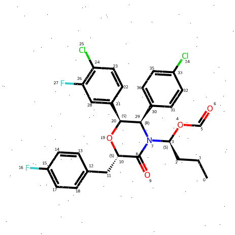 CCC[C@H](OC=O)N1C(=O)[C@H](Cc2ccc(F)cc2)O[C@@H](c2ccc(Cl)c(F)c2)[C@H]1c1ccc(Cl)cc1